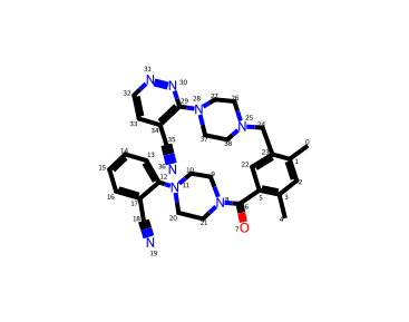 Cc1cc(C)c(C(=O)N2CCN(c3ccccc3C#N)CC2)cc1CN1CCN(c2nnccc2C#N)CC1